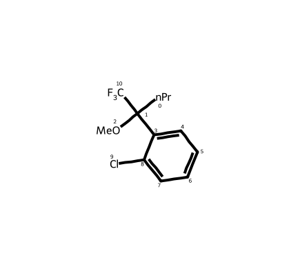 CCCC(OC)(c1ccccc1Cl)C(F)(F)F